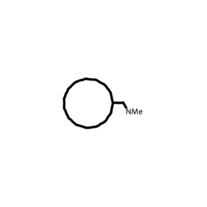 CNCC1CCCCCCCCCCCCCC1